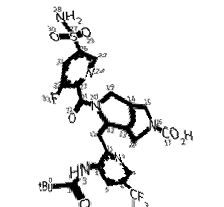 CC(C)(C)C(=O)Nc1cc(C(F)(F)F)cnc1[CH]C1C2=C(CN(C(=O)O)C2)CN1C(=O)c1ncc(S(N)(=O)=O)cc1F